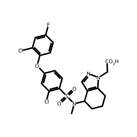 CN(C1CCCc2c1cnn2CC(=O)O)S(=O)(=O)c1ccc(Oc2ccc(F)cc2Cl)cc1Cl